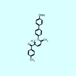 C=C(/C=C\C(=C)C(=O)c1ccc(C)cc1)Oc1ccc(-c2ccc(OC)cc2)cc1